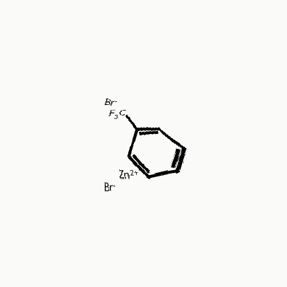 FC(F)(F)c1ccccc1.[Br-].[Br-].[Zn+2]